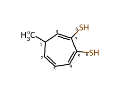 CC1C=CC=C(S)C(S)=C1